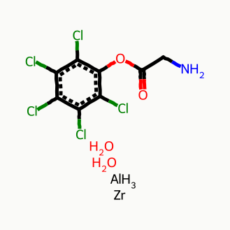 NCC(=O)Oc1c(Cl)c(Cl)c(Cl)c(Cl)c1Cl.O.O.[AlH3].[Zr]